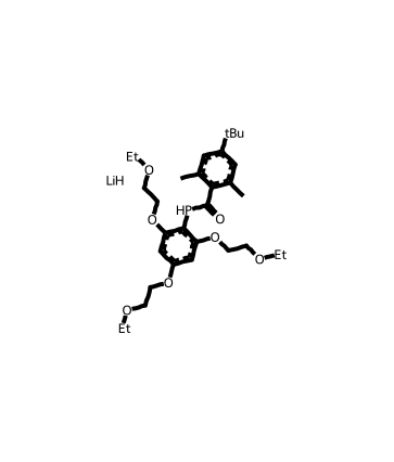 CCOCCOc1cc(OCCOCC)c(PC(=O)c2c(C)cc(C(C)(C)C)cc2C)c(OCCOCC)c1.[LiH]